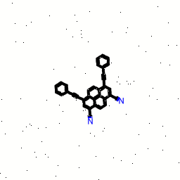 N#Cc1cc(C#Cc2ccccc2)c2ccc3c(C#Cc4ccccc4)cc(C#N)c4ccc1c2c43